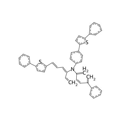 C=C/C(=C\C=C\c1ccc(-c2ccccc2)s1)N(C(=C)/C=C\C(=C)c1ccccc1)c1ccc(-c2ccc(-c3ccccc3)s2)cc1